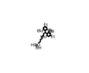 CCc1cc(C(C)(C)C)c(C(CCCCCCCOP(O)O)c2c(C(C)(C)C)cc(CC)cc2C(C)(C)C)c(C(C)(C)C)c1